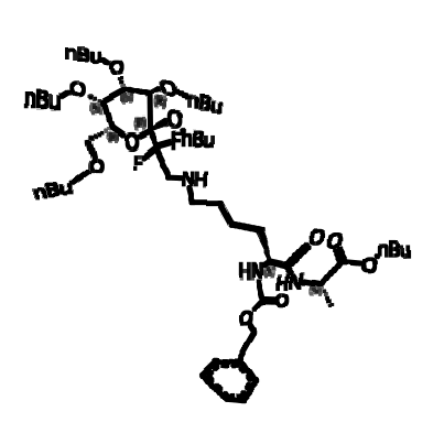 CCCCOC[C@H]1O[C@@](OCCCC)(C(F)(F)CNCCCC[C@H](NC(=O)OCc2ccccc2)C(=O)N[C@@H](C)C(=O)OCCCC)[C@H](OCCCC)[C@@H](OCCCC)[C@H]1OCCCC